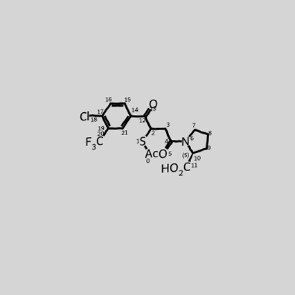 CC(=O)SC(CC(=O)N1CCC[C@H]1C(=O)O)C(=O)c1ccc(Cl)c(C(F)(F)F)c1